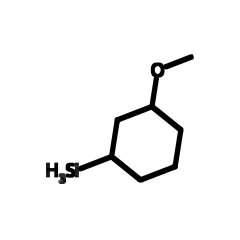 COC1CCCC([SiH3])C1